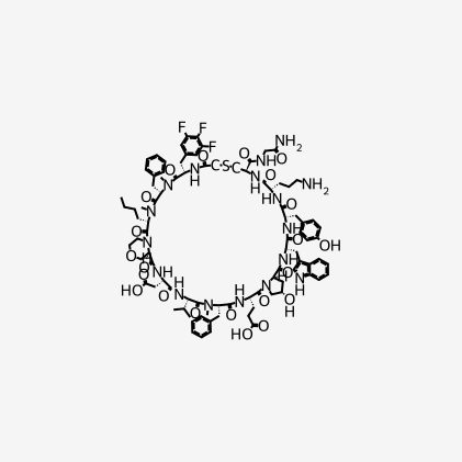 CCCC[C@H]1C(=O)N2CCOC[C@@H]2C(=O)N[C@@H](CC(=O)O)C(=O)N[C@@H](C(C)C)C(=O)N(C)[C@@H](Cc2ccccc2)C(=O)N[C@@H](CCC(=O)O)C(=O)N2C[C@@H](O)C[C@@H]2C(=O)N[C@@H](Cc2c[nH]c3ccccc23)C(=O)N[C@@H](Cc2ccc(O)cc2)C(=O)N[C@@H](CCCN)C(=O)N[C@H](C(=O)NCC(N)=O)CSCC(=O)N[C@@H](Cc2cc(F)c(F)c(F)c2)C(=O)N(C)[C@@H](Cc2ccccc2)C(=O)N1C